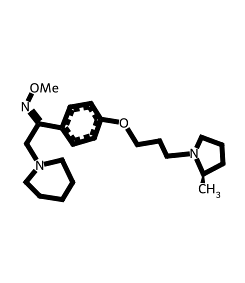 CO/N=C(/CN1CCCCC1)c1ccc(OCCCN2CCC[C@H]2C)cc1